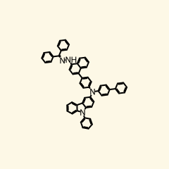 c1ccc(C(=NNc2ccc(-c3ccc(N(c4ccc(-c5ccccc5)cc4)c4ccc5c(c4)c4ccccc4n5-c4ccccc4)cc3)c3ccccc23)c2ccccc2)cc1